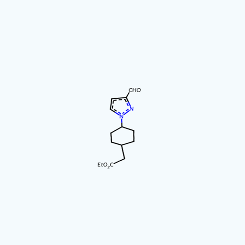 CCOC(=O)CC1CCC(n2ccc(C=O)n2)CC1